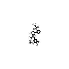 C=CC(=O)Nc1ccccc1C1CCNc2c(C(=O)N=NN)c(-c3ccc(Cl)c(Cl)c3)nn21